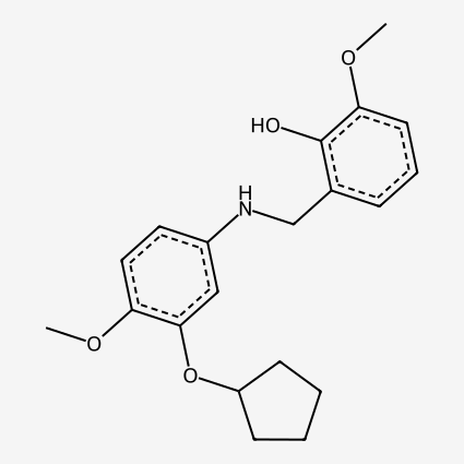 COc1ccc(NCc2cccc(OC)c2O)cc1OC1CCCC1